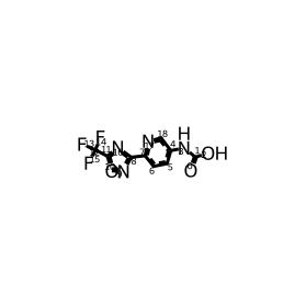 O=C(O)Nc1ccc(-c2noc(C(F)(F)F)n2)nc1